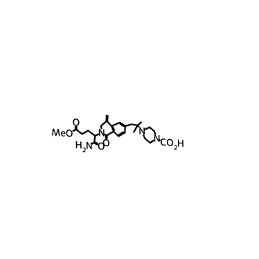 C=C1CN(C(CCC(=O)OC)C(N)=O)C(=O)c2ccc(CC(C)(C)N3CCN(C(=O)O)CC3)cc21